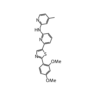 COc1ccc(-c2ncc(-c3cccc(Nc4cc(C)ccn4)n3)s2)c(OC)c1